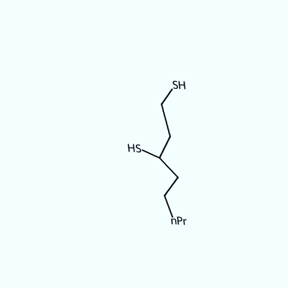 [CH2]CCCCC(S)CCS